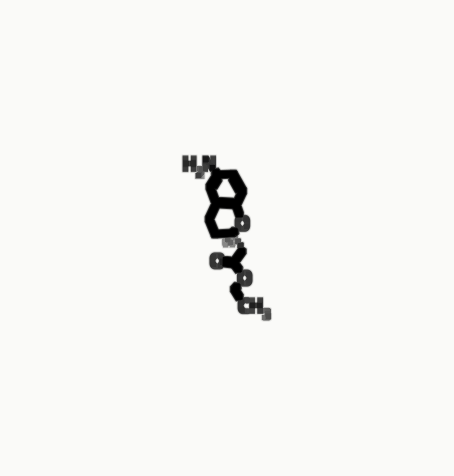 CCOC(=O)C[C@@H]1CCc2cc(N)ccc2O1